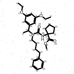 CCOc1cc(OCC)cc(C(C)N(CCCCc2ccccc2)C(=O)NC2(C(=O)OC)CCCC2)c1